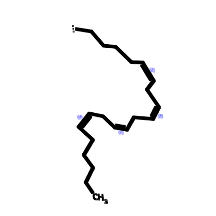 [C]CCCC/C=C\C/C=C\C/C=C\C/C=C\CCCCC